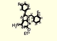 CCOc1nc(N)c2nc(-c3cncc(F)c3)n(Cc3ccccc3F)c2n1